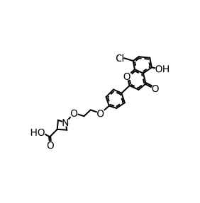 O=C(O)C1CN(OCCOc2ccc(-c3cc(=O)c4c(O)ccc(Cl)c4o3)cc2)C1